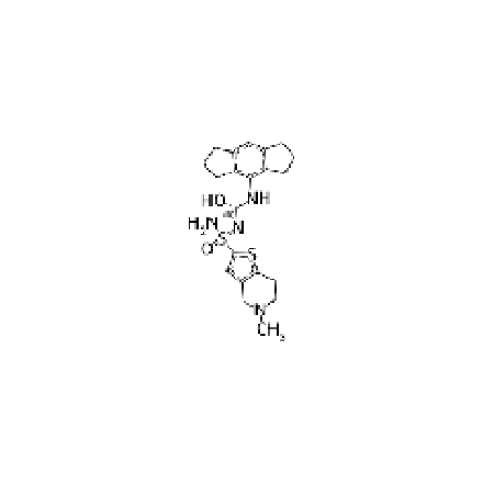 CN1CCc2sc(S(N)(=O)=N[C@H](O)Nc3c4c(cc5c3CCC5)CCC4)cc2C1